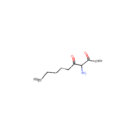 CCCCCCCCCCCC(=O)C(N)C(=O)OC